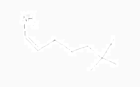 CC(C)(C)CCC/C=C\N